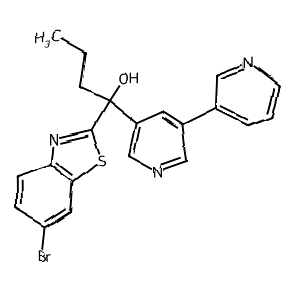 CCCC(O)(c1cncc(-c2cccnc2)c1)c1nc2ccc(Br)cc2s1